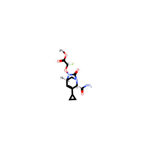 CC(C)OC(=O)[C@H](F)ON1C(=O)N2C[C@H]1C=C(C1CC1)[C@H]2C(N)=O